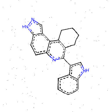 c1ccc2c(-c3nc4ccc5[nH]ncc5c4c4c3CCCC4)c[nH]c2c1